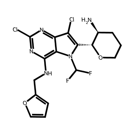 N[C@H]1CCCO[C@@H]1c1c(Cl)c2nc(Cl)nc(NCc3ccco3)c2n1C(F)F